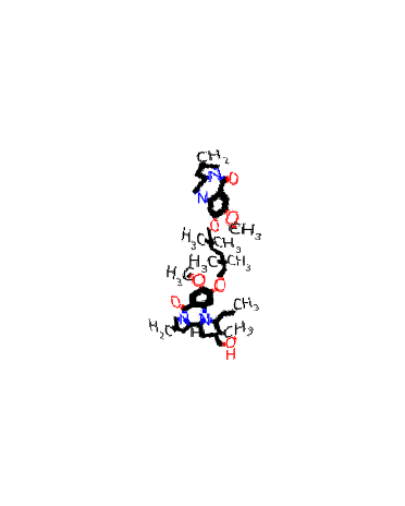 C=C1CC2C=Nc3cc(OCC(C)(C)CCC(C)(C)CCOc4cc5c(cc4OC)C(=O)N4CC(=C)C[C@H]4C(CCCO)N5C(CC)CCC)c(OC)cc3C(=O)N2C1